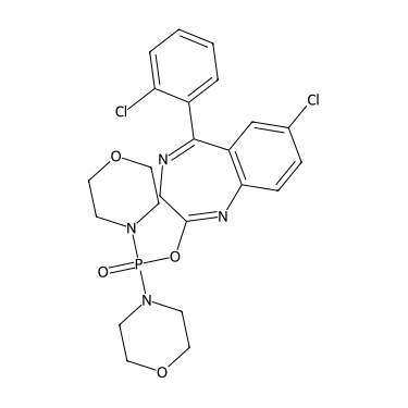 O=P(OC1=Nc2ccc(Cl)cc2C(c2ccccc2Cl)=NC1)(N1CCOCC1)N1CCOCC1